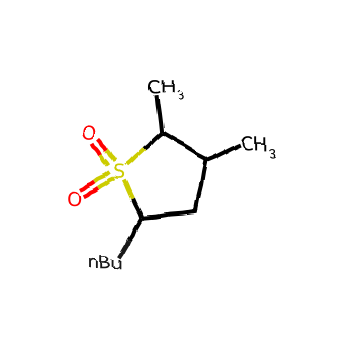 CCCCC1CC(C)C(C)S1(=O)=O